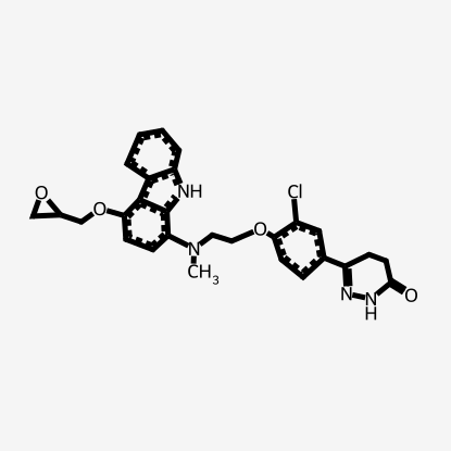 CN(CCOc1ccc(C2=NNC(=O)CC2)cc1Cl)c1ccc(OCC2CO2)c2c1[nH]c1ccccc12